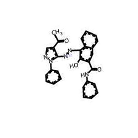 CC(=O)c1cnn(-c2ccccc2)c1/N=N/c1c(O)c(C(=O)Nc2ccccc2)cc2ccccc12